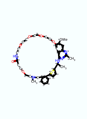 COc1cc2nc(C)nc3c2cc1OCCOCCOCCOCCNC(=O)CCOCCN(C)Cc1ccccc1-c1ccc(s1)C(C)N3